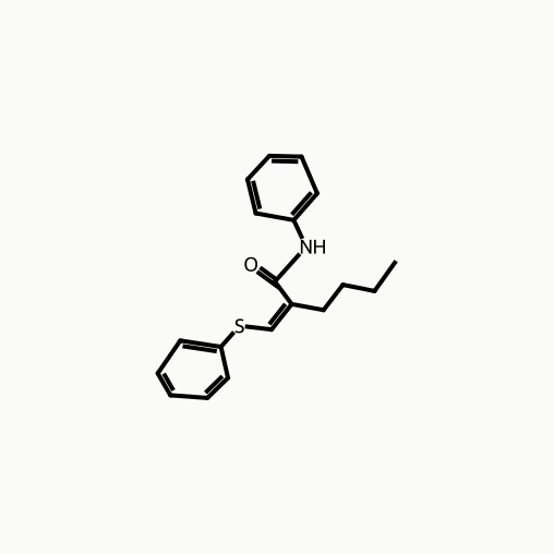 CCCCC(=CSc1ccccc1)C(=O)Nc1ccccc1